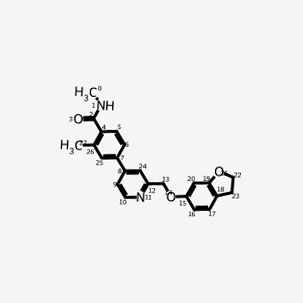 CNC(=O)c1ccc(-c2ccnc(COc3ccc4c(c3)OCC4)c2)cc1C